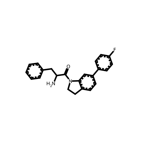 NC(Cc1ccccc1)C(=O)N1CCc2ccc(-c3ccc(F)cc3)cc21